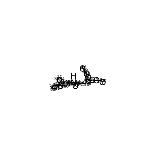 COCCOCOc1ccc(C=CC=CC(=O)NCCN2CCC(OC(c3ccccc3)c3ccccc3)CC2)cc1OCOCCOC